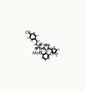 COc1cccc(C)c1-n1c(NS(=O)(=O)CCc2ccc(Cl)cc2)nnc1-c1cccs1